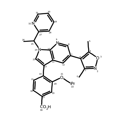 Cc1noc(C)c1-c1cnc2c(c1)c(-c1ccc(C(=O)O)cc1OC(C)C)cn2C(C)c1ccccn1